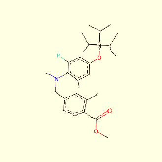 COC(=O)c1ccc(CN(C)c2c(C)cc(O[Si](C(C)C)(C(C)C)C(C)C)cc2F)cc1C